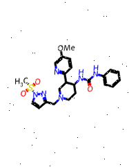 COc1ccc(C2CN(Cc3ccn(S(C)(=O)=O)n3)CCC2NC(=O)Nc2ccccc2)nc1